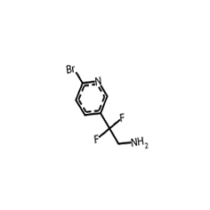 NCC(F)(F)c1ccc(Br)nc1